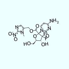 Cn1c(COC(=O)[C@@]2(n3ccc(N)nc3=O)O[C@H](CO)[C@@H](O)C2(F)F)cnc1[N+](=O)[O-]